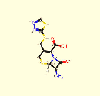 NC1C(=O)N2C(C(=O)O)=C(CSc3nncs3)CS[C@@H]12